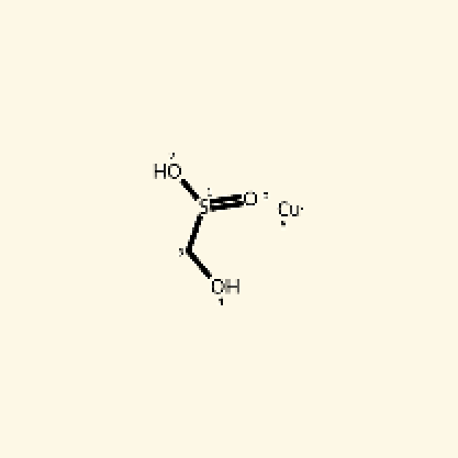 O=S(O)CO.[Cu]